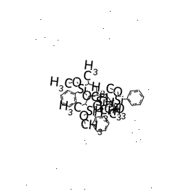 CO[Si](OC)(c1ccccc1)C(C)CC([SiH3])(CC(C)[Si](OC)(OC)c1ccccc1)CC(C)[Si](OC)(OC)c1ccccc1